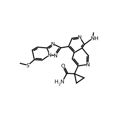 CNc1ncc(-c2nc3ccc(SC)cn3n2)c2cc(C3(C(N)=O)CC3)ncc12